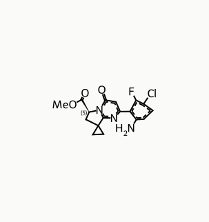 COC(=O)[C@@H]1CC2(CC2)c2nc(-c3c(N)ccc(Cl)c3F)cc(=O)n21